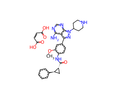 COc1cc(-c2nn(C3CCNCC3)c3ncnc(N)c23)ccc1NC(=O)[C@@H]1C[C@H]1c1ccccc1.O=C(O)/C=C\C(=O)O